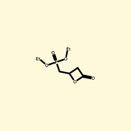 CCOP(=O)(CC1CC(=O)O1)OCC